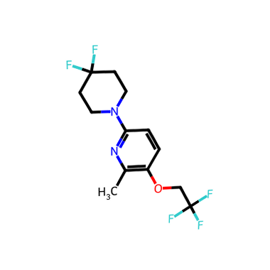 Cc1nc(N2CCC(F)(F)CC2)ccc1OCC(F)(F)F